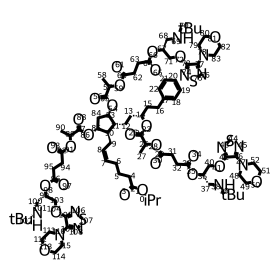 CC(C)OC(=O)CCC/C=C\C[C@@H]1[C@@H](CC[C@H](CCc2ccccc2)OC(=O)C(C)OC(=O)CCC(=O)O[C@@H](CNC(C)(C)C)COc2nsnc2N2CCOCC2)[C@H](OC(=O)C(C)OC(=O)CCC(=O)O[C@@H](CNC(C)(C)C)COc2nsnc2N2CCOCC2)C[C@@H]1OC(=O)C(C)OC(=O)CCC(=O)O[C@@H](CNC(C)(C)C)COc1nsnc1N1CCOCC1